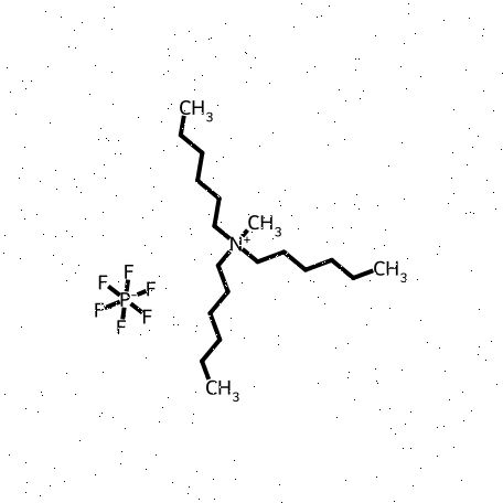 CCCCCC[N+](C)(CCCCCC)CCCCCC.F[P-](F)(F)(F)(F)F